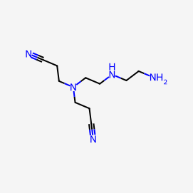 N#CCCN(CCC#N)CCNCCN